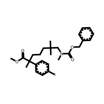 COC(=O)C(C)(CCCC(C)(C)CN(C)C(=O)OCc1ccccc1)c1ccc(I)cc1